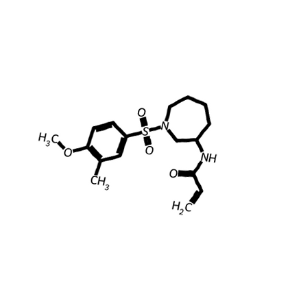 C=CC(=O)NC1CCCCN(S(=O)(=O)c2ccc(OC)c(C)c2)C1